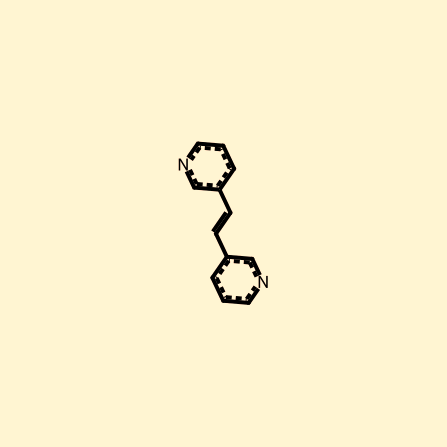 C(=Cc1cccnc1)c1cccnc1